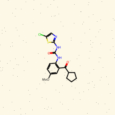 COc1ccc(NC(=O)Nc2ncc(Cl)s2)c(C(=O)C2CCCC2)c1